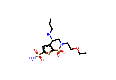 CCCN[C@H]1CN(CCOCC)S(=O)(=O)c2sc(S(N)(=O)=O)cc21